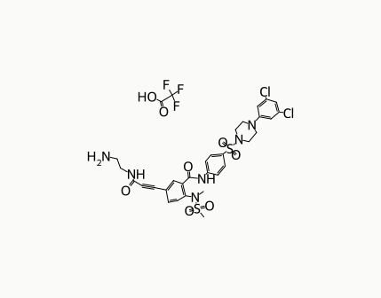 CN(c1ccc(C#CC(=O)NCCN)cc1C(=O)Nc1ccc(S(=O)(=O)N2CCN(c3cc(Cl)cc(Cl)c3)CC2)cc1)S(C)(=O)=O.O=C(O)C(F)(F)F